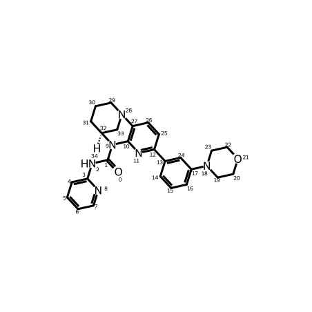 O=C(Nc1ccccn1)N1c2nc(-c3cccc(N4CCOCC4)c3)ccc2N2CCC[C@H]1C2